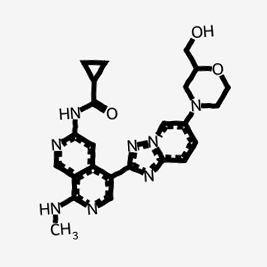 CNc1ncc(-c2nc3ccc(N4CCOC(CO)C4)cn3n2)c2cc(NC(=O)C3CC3)ncc12